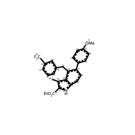 CCOC(=O)c1[nH]c2ccc(-c3ccc(OC)cc3)c(Cc3cccc(C(F)(F)F)c3)c2c1I